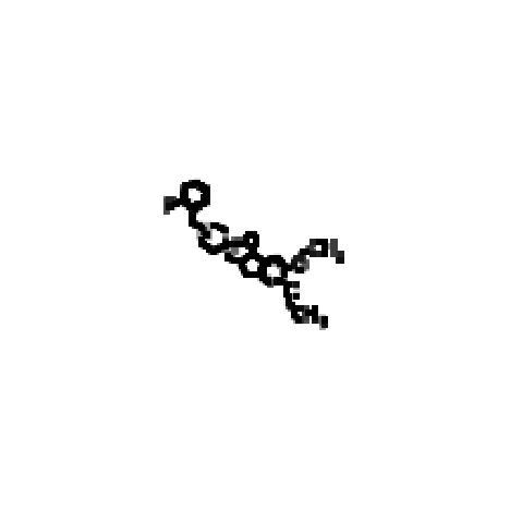 CCOc1cc2c(cc1OCC)C(=O)C(CC1(F)CCN(Cc3ccccc3F)CC1)C2